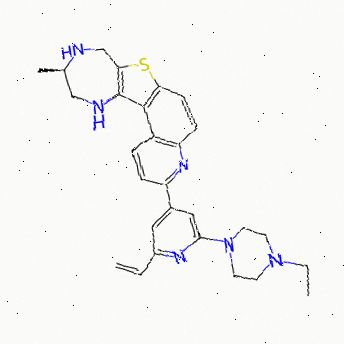 C=Cc1cc(-c2ccc3c(ccc4sc5c(c43)NC[C@@H](C)NC5)n2)cc(N2CCN(CC)CC2)n1